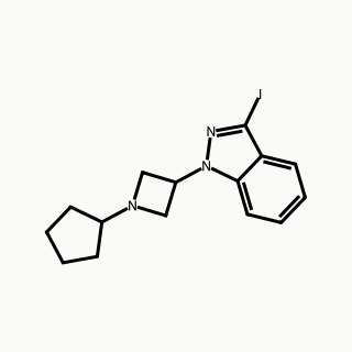 Ic1nn(C2CN(C3CCCC3)C2)c2ccccc12